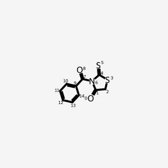 O=C1CSC(=S)N1C(=O)c1ccccc1